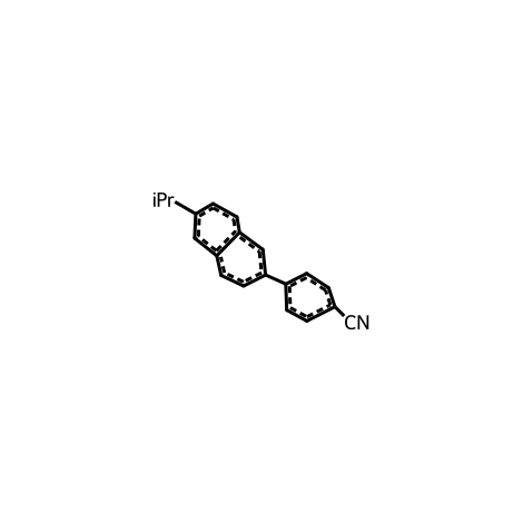 CC(C)c1ccc2cc(-c3ccc(C#N)cc3)ccc2c1